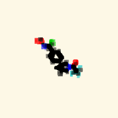 O=C(N1C[C@H]2C[C@@]2(c2ccc(/C(Cl)=N/O)cc2)C1)C(F)(F)F